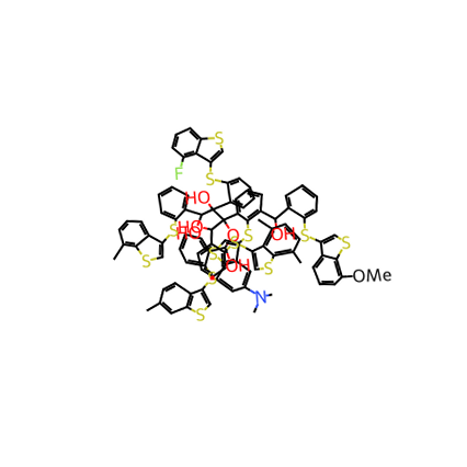 COc1cccc2c(Sc3ccccc3C(O)c3cccc(C(OC(O)c4ccccc4Sc4csc5cc(C)ccc45)(C(O)c4ccccc4Sc4csc5c(C)ccc(C)c45)C(O)(c4ccccc4Sc4csc5cccc(F)c45)C(O)c4ccccc4Sc4csc5c(C)cccc45)c3Sc3csc4ccc(N(C)C)cc34)csc12